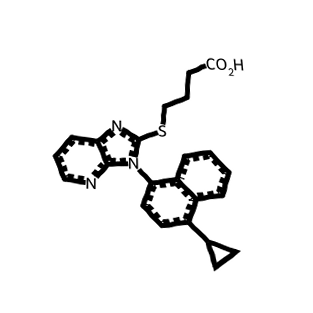 O=C(O)CCCSc1nc2cccnc2n1-c1ccc(C2CC2)c2ccccc12